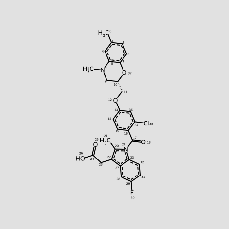 Cc1ccc2c(c1)N(C)C[C@@H](COc1ccc(C(=O)n3c(C)c(CC(=O)O)c4cc(F)ccc43)c(Cl)c1)O2